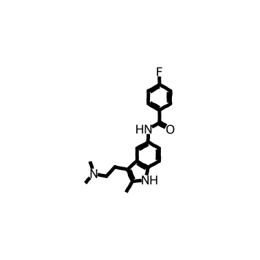 Cc1[nH]c2ccc(NC(=O)c3ccc(F)cc3)cc2c1CCN(C)C